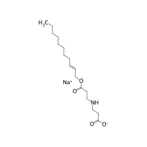 CCCCCCCCC=CCOC(=O)CCNCCC(=O)[O-].[Na+]